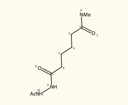 CNC(=O)CCCCC(=O)NNC(C)=O